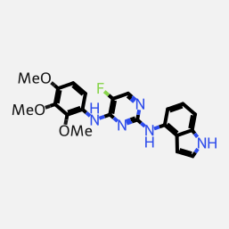 COc1ccc(Nc2nc(Nc3cccc4[nH]ccc34)ncc2F)c(OC)c1OC